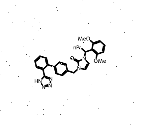 CCCC(c1c(OC)cccc1OC)n1ccn(Cc2ccc(-c3ccccc3-c3nnn[nH]3)cc2)c1=O